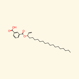 C=CC(CCCCCCCCCCCCCCCCC)OC(=O)c1cccc(C(=O)O)c1